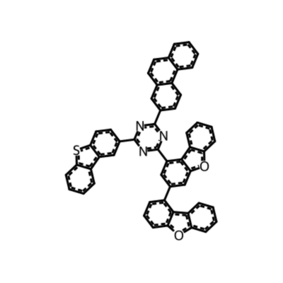 c1ccc2c(c1)ccc1cc(-c3nc(-c4ccc5sc6ccccc6c5c4)nc(-c4cc(-c5cccc6oc7ccccc7c56)cc5oc6ccccc6c45)n3)ccc12